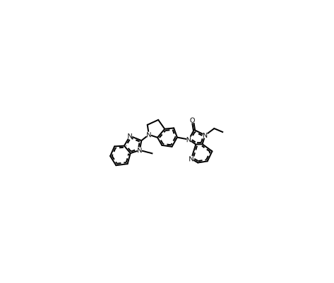 CCn1c(=O)n(-c2ccc3c(c2)CCN3c2nc3ccccc3n2C)c2ncccc21